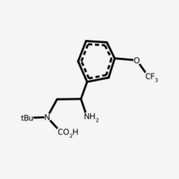 CC(C)(C)N(CC(N)c1cccc(OC(F)(F)F)c1)C(=O)O